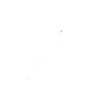 CC(N[C@@H](Cc1ccc(N2CCNCC2)nc1)C(=O)O)=C1C(=O)CC(C)(C)CC1=O